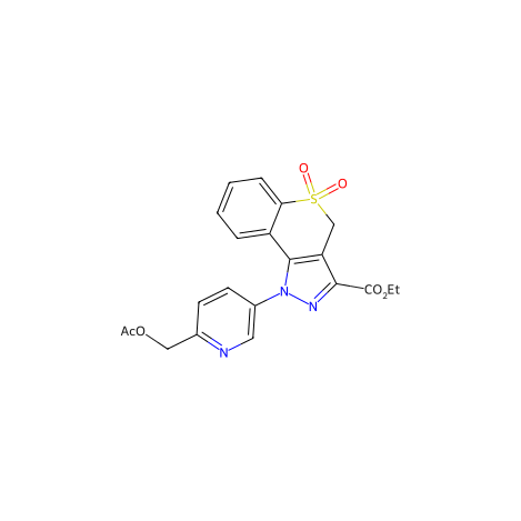 CCOC(=O)c1nn(-c2ccc(COC(C)=O)nc2)c2c1CS(=O)(=O)c1ccccc1-2